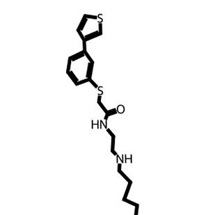 CCCCCNCCNC(=O)CSc1cccc(-c2ccsc2)c1